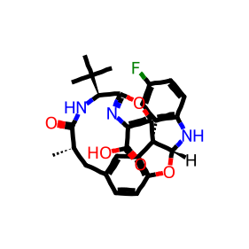 C[C@H]1Cc2ccc3c(c2)[C@@]2(c4cc(F)ccc4N[C@@H]2O3)c2oc(nc2C(=O)O)[C@H](C(C)(C)C)NC1=O